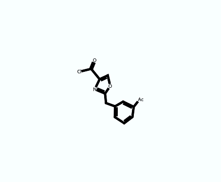 CC(=O)c1cccc(Cc2nc(C(=O)Cl)co2)c1